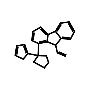 C=CC1c2ccccc2-c2cccc(C3(C4=CC=CC4)CCCC3)c21